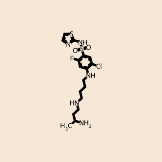 CC(N)CCNCCCCNc1cc(F)c(S(=O)(=O)Nc2nccs2)cc1Cl